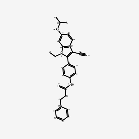 CCn1c(-c2ccc(NC(=O)CCc3ccccc3)cc2)c(C#N)c2ccc(OC(C)C)cc21